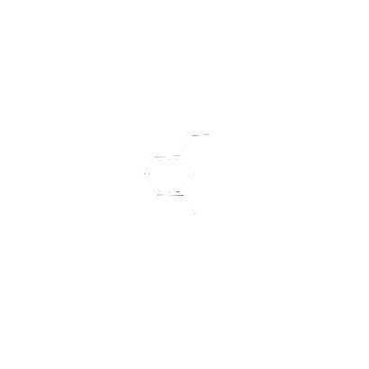 OCc1cccc(CS)c1